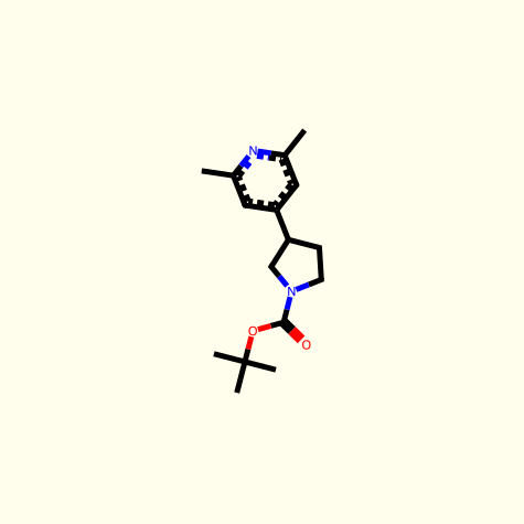 Cc1cc(C2CCN(C(=O)OC(C)(C)C)C2)cc(C)n1